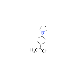 CC(C)C1CCC(N2CCCC2)CC1